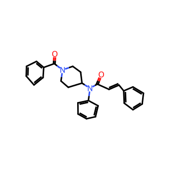 O=C(c1ccccc1)N1CCC(N(C(=O)C=Cc2ccccc2)c2ccccc2)CC1